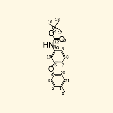 Cc1ccc(Oc2cccc(NC(=O)OC(C)(C)C)c2)cc1